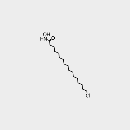 O=C(CCCCCCCCCCCCCCCCCl)NO